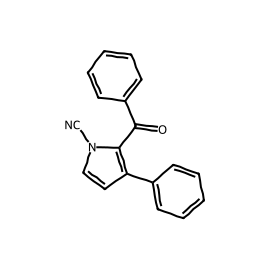 N#Cn1ccc(-c2ccccc2)c1C(=O)c1ccccc1